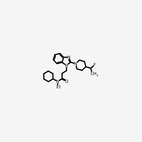 CCN(C(=O)CCn1c(N2CCC(C(C)F)CC2)nc2ccccc21)C1CCCCC1